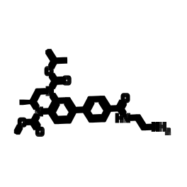 COC(=O)N1c2ccc(-c3ccc(C(=O)NCCN)cc3)cc2N(C(=O)OC(C)C)C[C@@H]1C